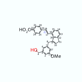 COc1cc(CO)cc(CC2=CCc3cccc(/C=C/c4ccc(C(=O)O)cc4)c32)c1